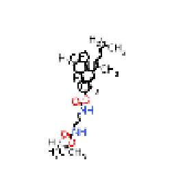 CC(C)CCC[C@@H](C)C1C=C2C[C@@H](OC(=O)NCCCNC(=O)OC(C)(C)C)CC[C@]2(C)[C@H]2CC[C@@]3(C)CCC[C@H]3[C@H]12